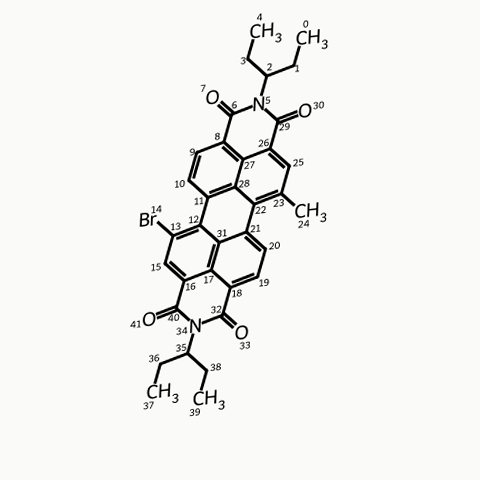 CCC(CC)N1C(=O)c2ccc3c4c(Br)cc5c6c(ccc(c7c(C)cc(c2c37)C1=O)c64)C(=O)N(C(CC)CC)C5=O